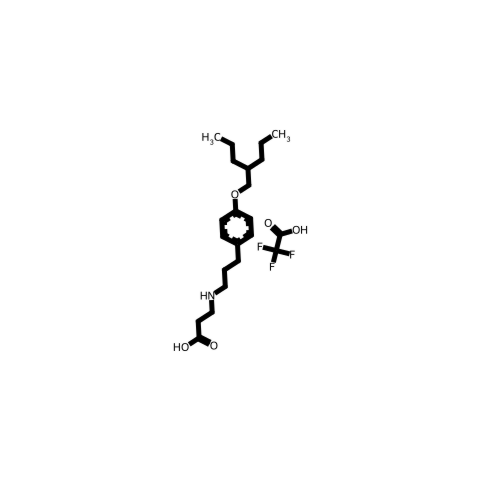 CCCC(CCC)COc1ccc(CCCNCCC(=O)O)cc1.O=C(O)C(F)(F)F